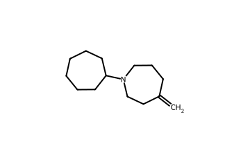 C=C1CCCN(C2CCCCCC2)CC1